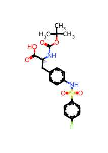 CC(C)(C)OC(=O)N[C@@H](Cc1ccc(NS(=O)(=O)c2ccc(F)cc2)cc1)C(=O)O